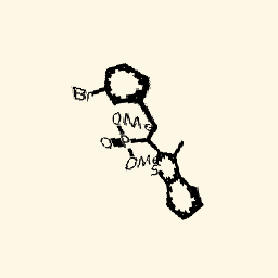 COP(=O)(OC)C(Cc1cccc(Br)c1)c1sc2ccccc2c1C